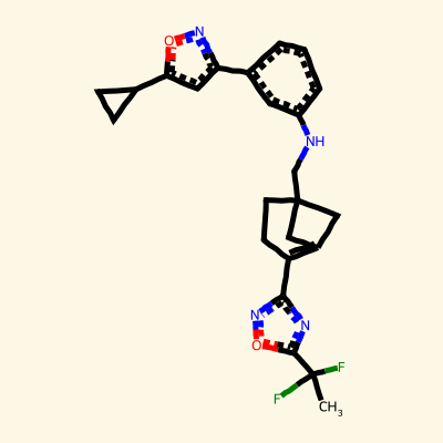 CC(F)(F)c1nc(C2=C3CC(CNc4cccc(-c5cc(C6CC6)on5)c4)(CC2)C3)no1